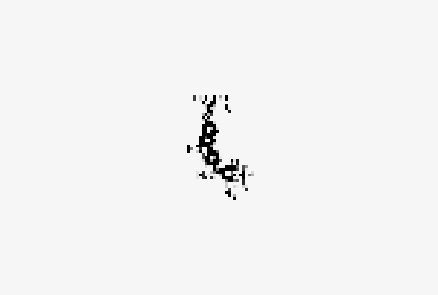 CN(c1ccc(-c2cc3ccc(OCCC(C)(C)O)cc3cc2O)nn1)C1CC(C)(C)NC(C)(C)C1